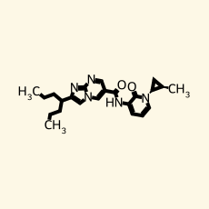 CCCC(CCC)c1cn2cc(C(=O)Nc3cccn([C@@H]4C[C@H]4C)c3=O)cnc2n1